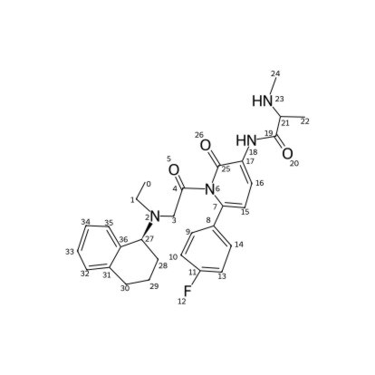 CCN(CC(=O)n1c(-c2ccc(F)cc2)ccc(NC(=O)C(C)NC)c1=O)[C@H]1CCCc2ccccc21